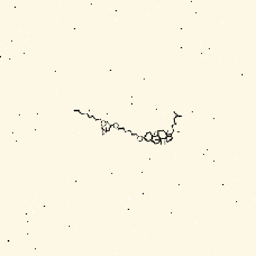 CCCCCCCCOC[C@@H](CN(C)C)OCCCCCCO[C@H]1CC[C@@]2(C)C(=CC[C@H]3[C@@H]4CC[C@H]([C@H](C)CCCC(C)C)[C@@]4(C)CC[C@@H]32)C1